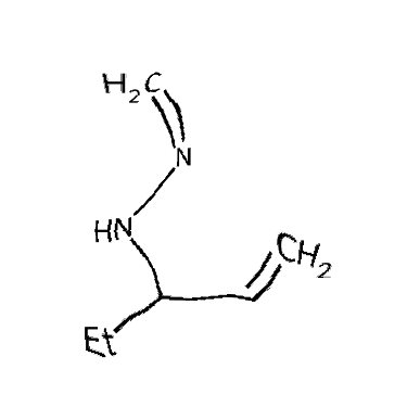 C=CC(CC)NN=C